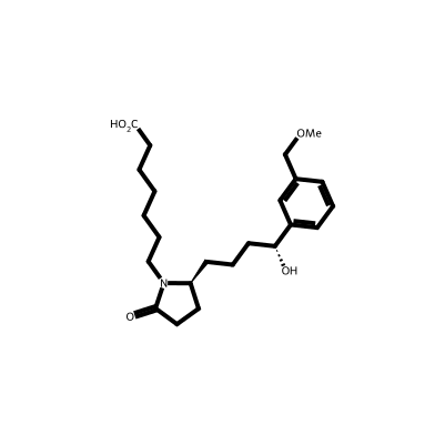 COCc1cccc([C@H](O)CCC[C@H]2CCC(=O)N2CCCCCCC(=O)O)c1